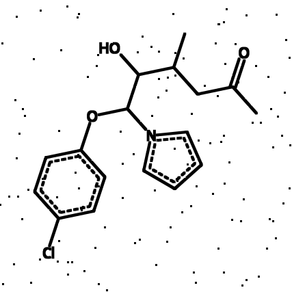 CC(=O)CC(C)C(O)C(Oc1ccc(Cl)cc1)n1cccc1